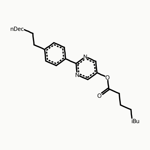 CCCCCCCCCCCCc1ccc(-c2ncc(OC(=O)CCCC(C)CC)cn2)cc1